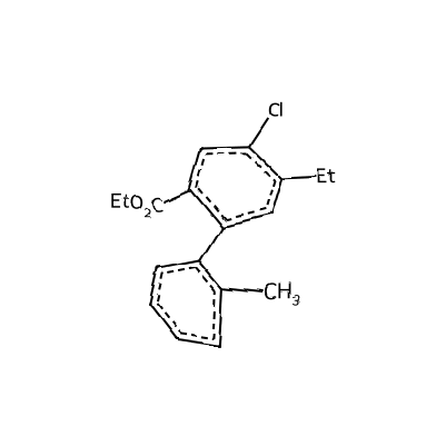 CCOC(=O)c1cc(Cl)c(CC)cc1-c1ccccc1C